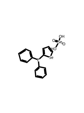 O=[Se](=O)(O)O.c1ccc(P(c2ccccc2)c2ccc[se]2)cc1